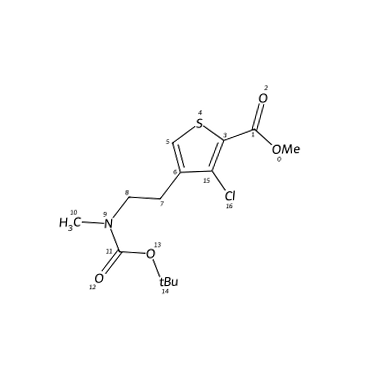 COC(=O)c1scc(CCN(C)C(=O)OC(C)(C)C)c1Cl